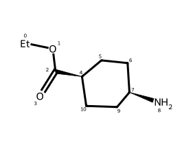 CCOC(=O)[C@H]1CC[C@@H](N)CC1